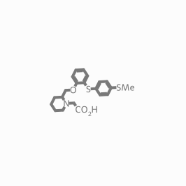 CSc1ccc(Sc2ccccc2OCC2CCCCN2CC(=O)O)cc1